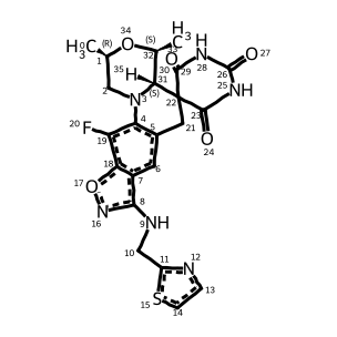 C[C@@H]1CN2c3c(cc4c(NCc5nccs5)noc4c3F)CC3(C(=O)NC(=O)NC3=O)[C@H]2[C@H](C)O1